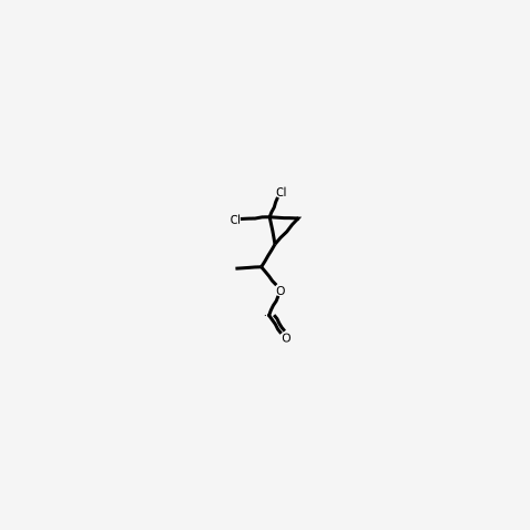 CC(O[C]=O)C1CC1(Cl)Cl